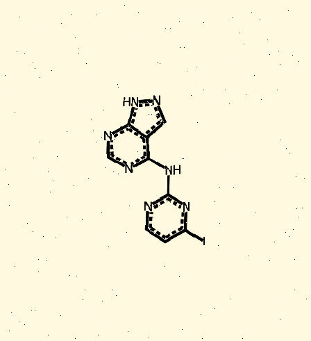 Ic1ccnc(Nc2ncnc3[nH]ncc23)n1